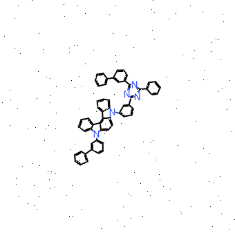 c1ccc(-c2cccc(-c3nc(-c4ccccc4)nc(-c4cccc(-n5c6ccccc6c6c7c8ccccc8n(-c8cccc(-c9ccccc9)c8)c7ccc65)c4)n3)c2)cc1